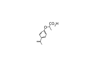 C=C(C)c1ccc(OC(C)C(=O)O)cc1